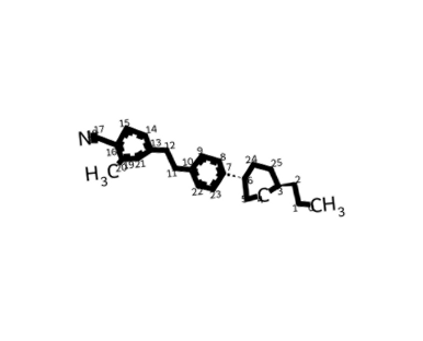 CCC[C@H]1CC[C@H](c2ccc(CCc3ccc(C#N)c(C)c3)cc2)CC1